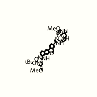 COC[C@H]1C[C@@H](c2nc3ccc4cc5c(cc4c3[nH]2)OCc2cc(-c3cnc([C@@H]4CC[C@@H]6CC(C)[C@H](NC(=O)OC)C(=O)N64)[nH]3)ccc2-5)N(C(=O)OC(C)(C)C)C1